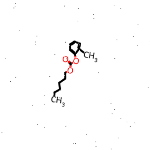 CCCCCCOC(=O)Oc1ccccc1C